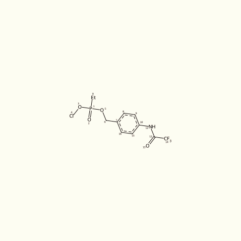 CCP(=O)(OCl)OCc1ccc(NC(=O)C(F)(F)F)cc1